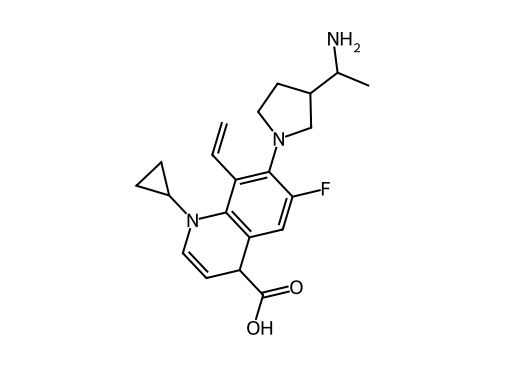 C=Cc1c(N2CCC(C(C)N)C2)c(F)cc2c1N(C1CC1)C=CC2C(=O)O